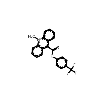 C[n+]1c2ccccc2c(C(=S)Oc2ccc(C(F)(F)F)cc2)c2ccccc21